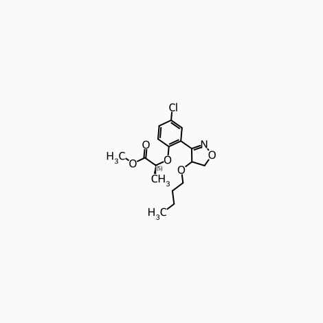 CCCCOC1CON=C1c1cc(Cl)ccc1O[C@@H](C)C(=O)OC